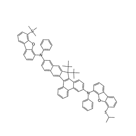 CC(C)Sc1cccc2c1oc1c(N(c3ccccc3)c3ccc4c5c(c6ccccc6c4c3)-c3cc4ccc(N(c6ccccc6)c6cccc7c6oc6c([Si](C)(C)C)cccc67)cc4cc3C5(C(C)(C)C)C(C)(C)C)cccc12